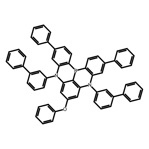 c1ccc(Oc2cc3c4c(c2)N(c2cccc(-c5ccccc5)c2)c2cc(-c5ccccc5)ccc2B4c2ccc(-c4ccccc4)cc2N3c2cccc(-c3ccccc3)c2)cc1